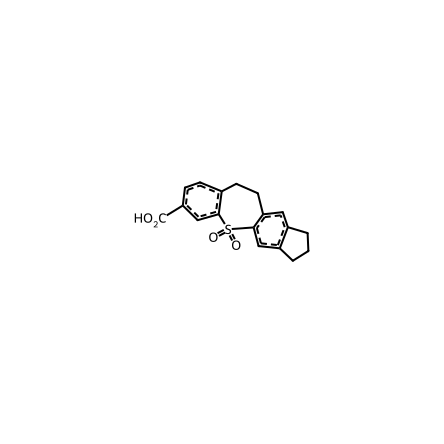 O=C(O)c1ccc2c(c1)S(=O)(=O)c1cc3c(cc1CC2)CCC3